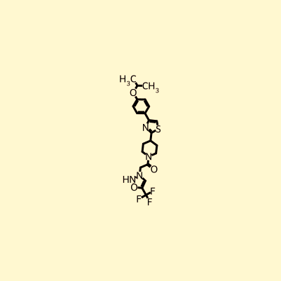 CC(C)Oc1ccc(-c2csc(C3CCN(C(=O)CN4C=C(C(F)(F)F)ON4)CC3)n2)cc1